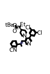 CCN(C(=O)OC(C)(C)C)C1CCN(c2c(/C=C(\C)c3cccc(C#N)c3)cncc2-c2cc(Cl)cc(Cl)c2)CC1